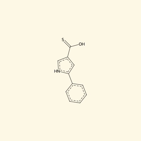 OC(=S)c1c[nH]c(-c2ccccc2)c1